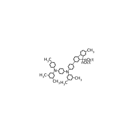 CCCCCCCCC1(CCCCCCCC)c2cc(C)ccc2-c2ccc(-c3ccc(N(c4ccc(N(c5ccc(C)cc5)c5cc(C)cc(C)c5)cc4)c4cc(C)cc(C)c4)cc3)cc21